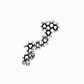 Cc1ccc(N2CCN(CC3CCN(c4ccc(C5c6ccccc6CCC5c5ccccc5)cc4)CC3)CC2)cc1CN(C=O)C1CCC(=O)NC1=O